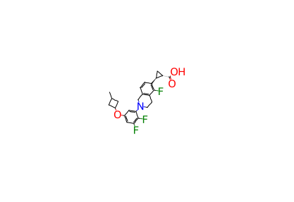 CC1CC(Oc2cc(F)c(F)c(N3CCc4c(ccc([C@H]5C[C@@H]5C(=O)O)c4F)C3)c2)C1